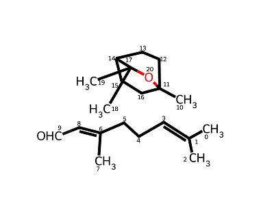 CC(C)=CCC/C(C)=C/C=O.CC12CCC(CC1)C(C)(C)O2